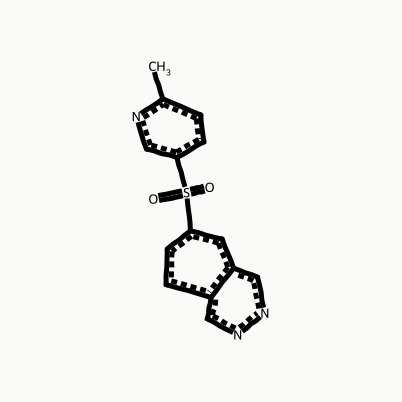 Cc1ccc(S(=O)(=O)c2ccc3cnncc3c2)cn1